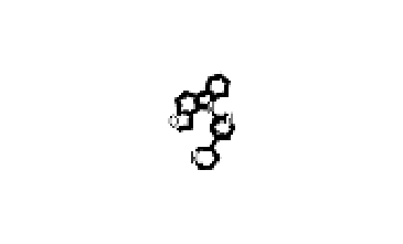 C1=NC=C(c2ccnc(-n3c4ccccc4c4ccc5occc5c43)c2)CC1